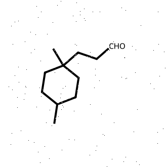 CC1CCC(C)(CCC=O)CC1